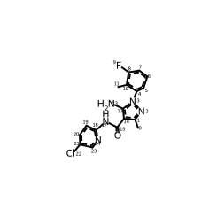 Cc1nn(-c2cccc(F)c2C)c(N)c1C(=O)Nc1ccc(Cl)cn1